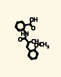 COc1ccccc1/C=C(\C)C(=O)Nc1ccccc1C(=O)O